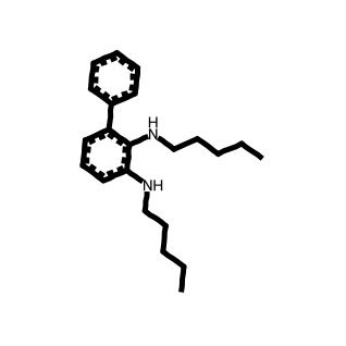 CCCCCNc1cccc(-c2ccccc2)c1NCCCCC